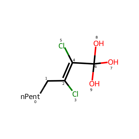 CCCCCCC(Cl)=C(Cl)C(O)(O)O